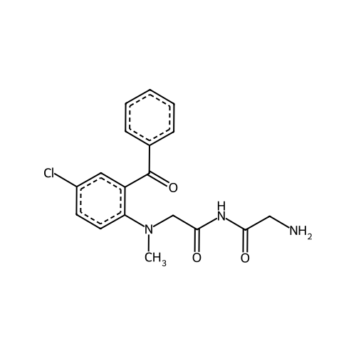 CN(CC(=O)NC(=O)CN)c1ccc(Cl)cc1C(=O)c1ccccc1